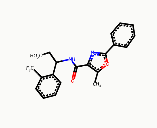 Cc1oc(-c2ccccc2)nc1C(=O)NC(CC(=O)O)c1ccccc1C(F)(F)F